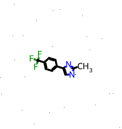 CC1=NC(c2ccc(C(F)(F)F)cc2)=C[N]1